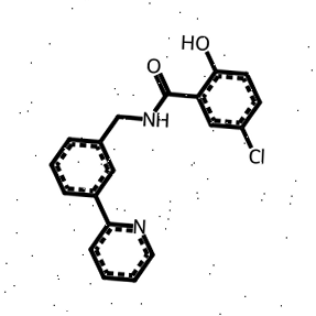 O=C(NCc1cccc(-c2ccccn2)c1)c1cc(Cl)ccc1O